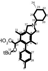 Cc1ccc(-c2c(C)c3c(c(C)c2C(OC(C)(C)C)C(=O)O)CN(C2CCC[C@@H](C)C2)C3)cc1